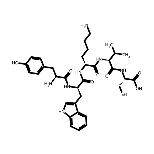 CC(C)[C@H](NC(=O)[C@H](CCCCN)NC(=O)[C@@H](Cc1c[nH]c2ccccc12)NC(=O)[C@@H](N)Cc1ccc(O)cc1)C(=O)N[C@@H](CS)C(=O)O